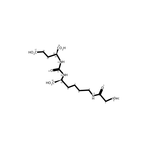 CCCCCCCCCCCC(=O)NCCCC[C@H](NC(=O)N[C@@H](CCC(=O)O)C(=O)O)C(=O)O